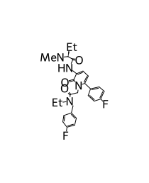 CC[C@H](NC)C(=O)Nc1ccc(-c2ccc(F)cc2)n(CC(=O)N(CC)Cc2ccc(F)cc2)c1=O